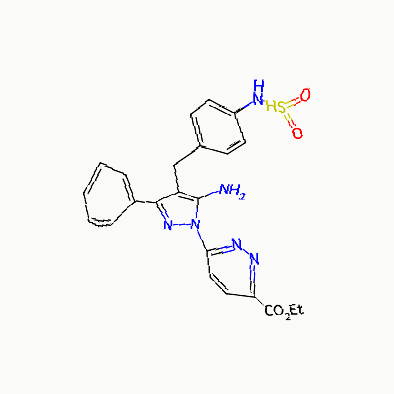 CCOC(=O)c1ccc(-n2nc(-c3ccccc3)c(Cc3ccc(N[SH](=O)=O)cc3)c2N)nn1